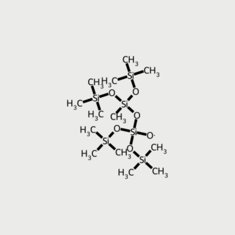 C[Si](C)(C)O[Si](C)(O[Si](C)(C)C)O[Si]([O])(O[Si](C)(C)C)O[Si](C)(C)C